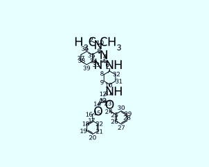 CN(C)c1nc(NC2CCC(NC[C@@H](COCc3ccccc3)OCc3ccccc3)CC2)nc2c1CCCC2